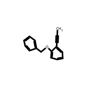 CC#Cc1ccccc1OCc1ccccc1